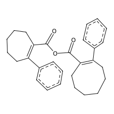 O=C(OC(=O)C1=C(c2ccccc2)CCCCC1)C1=C(c2ccccc2)CCCCCC1